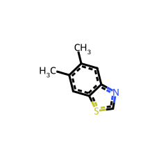 Cc1cc2ncsc2cc1C